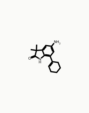 CC1(C)C(=O)Nc2c(C3=CCCCC3)cc(N)cc21